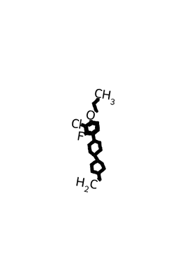 C=CC1CCC(C2CCC(c3ccc(OCCCC)c(Cl)c3F)CC2)CC1